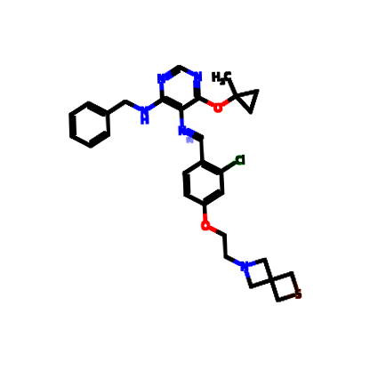 CC1(Oc2ncnc(NCc3ccccc3)c2/N=C/c2ccc(OCCN3CC4(CSC4)C3)cc2Cl)CC1